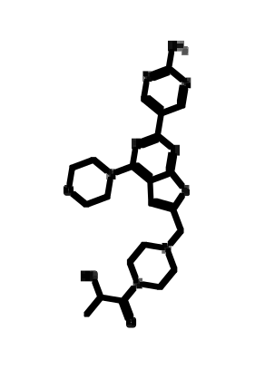 CC(O)C(=O)N1CCN(Cc2cc3c(N4CCOCC4)nc(-c4cnc(N)nc4)nc3s2)CC1